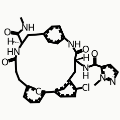 CNC(=O)[C@H]1Cc2ccc(cc2)NC(=O)[C@H](NC(=O)c2ccnn2C)Cc2cc(ccc2Cl)-c2cccc(c2)CCC(=O)N1